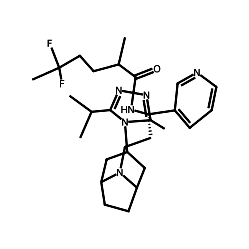 Cc1nnc(C(C)C)n1C1CC2CCC(C1)N2CC[C@H](NC(=O)C(C)CCC(C)(F)F)c1cccnc1